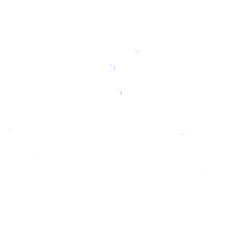 COc1cccc(C=CC2=NN=C(C)Cc3cc4c(cc32)OCO4)c1OC.Cl